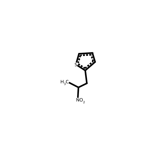 CC(Cc1c[c]cs1)[N+](=O)[O-]